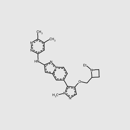 CCN1CCC1COc1cnn(C)c1-c1ccn2nc(Nc3cc(C)c(C)nn3)cc2c1